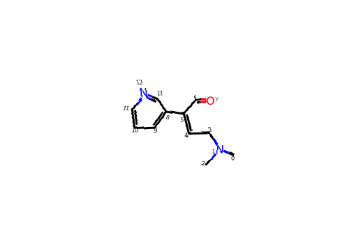 CN(C)CC=C(C=O)c1cccnc1